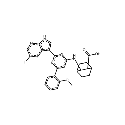 COc1ccccc1-c1cc(NC2C3CCC(CC3)C2C(=O)O)nc(-c2c[nH]c3ncc(F)cc23)n1